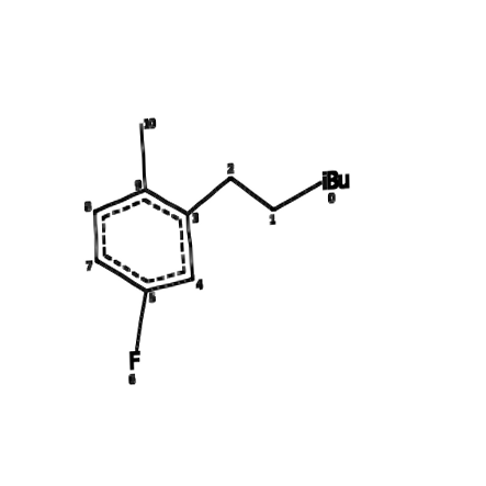 CCC(C)CCc1cc(F)ccc1C